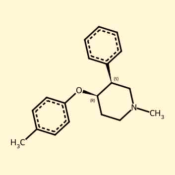 Cc1ccc(O[C@@H]2CCN(C)C[C@@H]2c2ccccc2)cc1